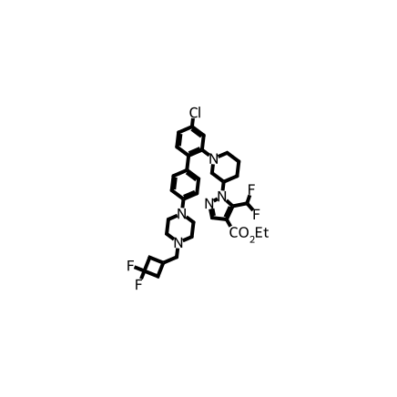 CCOC(=O)c1cnn(C2CCCN(c3cc(Cl)ccc3-c3ccc(N4CCN(CC5CC(F)(F)C5)CC4)cc3)C2)c1C(F)F